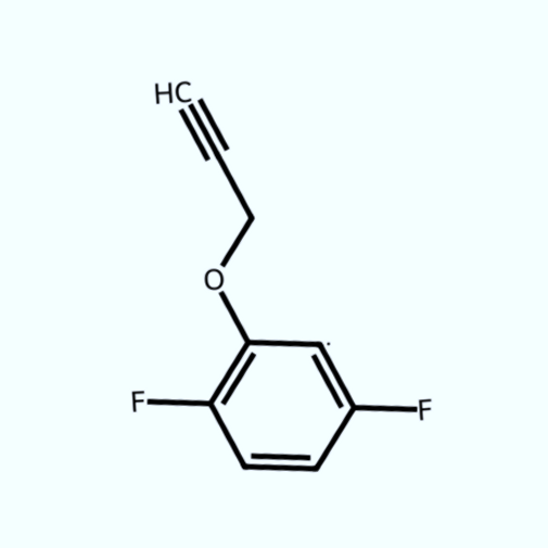 C#CCOc1[c]c(F)ccc1F